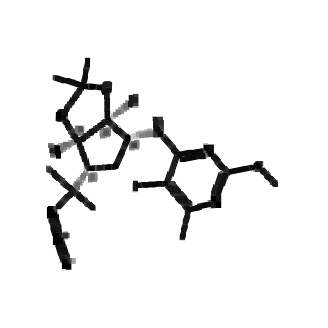 CSc1nc(C)c(I)c(N[C@@H]2C[C@H](C(C)(C)N=[N+]=[N-])[C@H]3OC(C)(C)O[C@H]32)n1